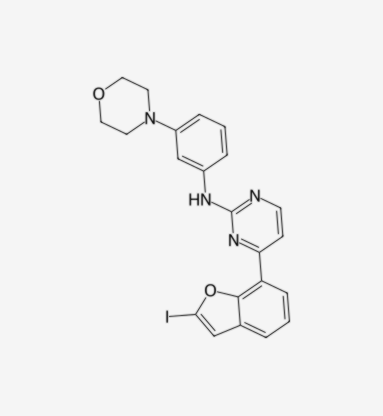 Ic1cc2cccc(-c3ccnc(Nc4cccc(N5CCOCC5)c4)n3)c2o1